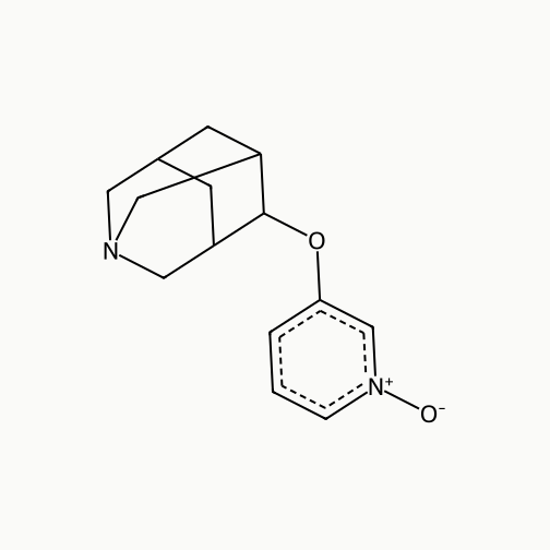 [O-][n+]1cccc(OC2C3CC4CC2CN(C4)C3)c1